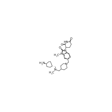 CN(CC1CCN(Cc2ccc3c(c2)n(C)c(=O)n3C2CCC(=O)NC2=O)CC1)C[C@H]1CC[C@H](N)CC1